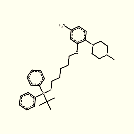 CN1CCN(c2ccc(N)cc2OCCCCCO[Si](c2ccccc2)(c2ccccc2)C(C)(C)C)CC1